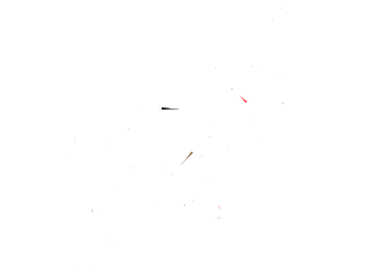 CCC(=O)O[C@]1(C(=O)COC(C)=O)C(C)C[C@H]2[C@@H]3CC(C)C4=CC(=O)CC[C@]4(C)[C@@]3(Br)C(O)C[C@@]21C